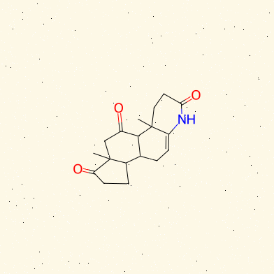 CC12CC(=O)C3C(CC=C4NC(=O)CCC43C)C1CCC2=O